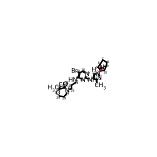 Cc1nn(C2CC3CCC(C2)N3C)cc1Nc1ncc(Br)c(NCCCN2CCCOC(C)(C)C2=O)n1